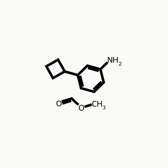 COC=O.Nc1cccc(C2CCC2)c1